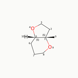 C[C@]12CCO[C@H]1CCCO2